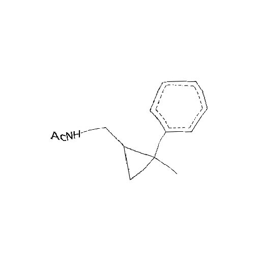 CC(=O)NCC1CC1(C)c1ccccc1